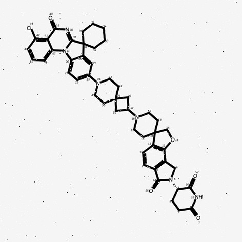 O=C1CC[C@H](N2Cc3c(ccc4c3OCC43CCN(C4CC5(CCN(c6ccc7c(c6)C6(CCCCC6)c6nc(=O)c8c(Cl)cccc8n6-7)CC5)C4)CC3)C2=O)C(=O)N1